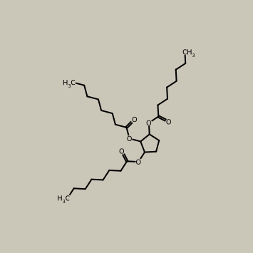 CCCCCCCC(=O)OC1CCC(OC(=O)CCCCCCC)C1OC(=O)CCCCCCC